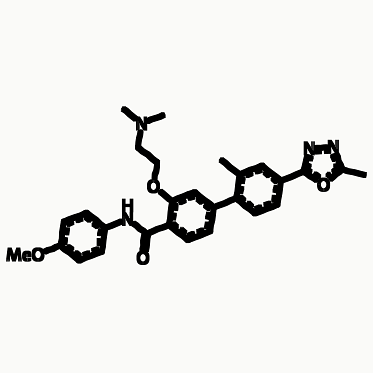 COc1ccc(NC(=O)c2ccc(-c3ccc(-c4nnc(C)o4)cc3C)cc2OCCN(C)C)cc1